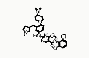 CN1CCC(Cc2cc(Nc3ncc4c(n3)OCN(c3c(Cl)cccc3Cl)C4=O)ccc2N2CCC(N(C)C)CC2)C1